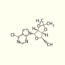 C#C[C@H]1O[C@@H](n2ccc3c(Cl)ncnc32)[C@@H]2OC(C)(C)O[C@@H]21